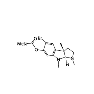 CNC(=O)Oc1cc2c(cc1Br)[C@]1(C)CCN(C)[C@H]1N2C